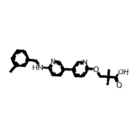 Cc1cccc(CNc2ccc(-c3ccc(OCC(C)(C)C(=O)O)nc3)cn2)c1